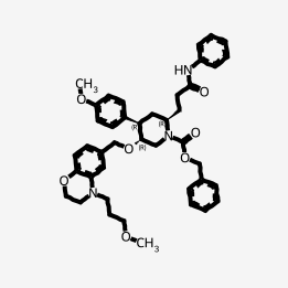 COCCCN1CCOc2ccc(CO[C@H]3CN(C(=O)OCc4ccccc4)[C@H](CCC(=O)Nc4ccccc4)C[C@@H]3c3ccc(OC)cc3)cc21